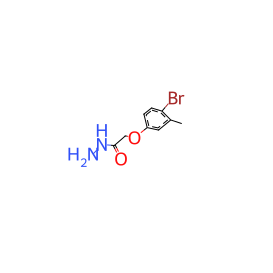 Cc1cc(OCC(=O)NN)ccc1Br